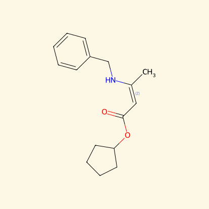 C/C(=C/C(=O)OC1CCCC1)NCc1ccccc1